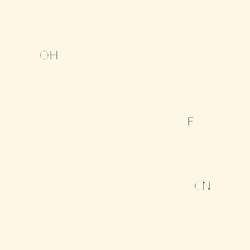 N#Cc1ccc(CCCO)cc1F